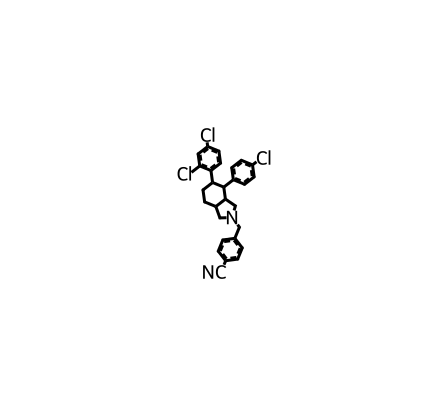 N#Cc1ccc(CN2CC3CCC(c4ccc(Cl)cc4Cl)C(c4ccc(Cl)cc4)C3C2)cc1